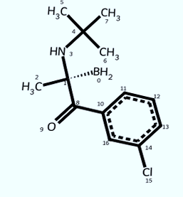 B[C@](C)(NC(C)(C)C)C(=O)c1cccc(Cl)c1